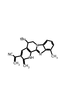 C=C(C#N)C1=CC2=C(NC1=C)c1nc3c(C)cccc3n1CC2C(C)(C)C